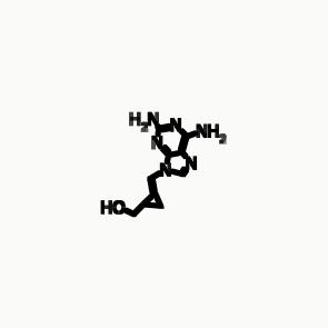 Nc1nc(N)c2ncn(C=C3CC3CO)c2n1